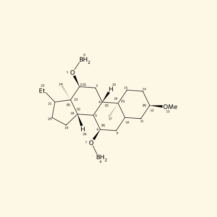 BO[C@H]1C[C@H]2C([C@H](OB)CC3C[C@H](OC)CC[C@@]32C)[C@@H]2CCC(CC)[C@@]12C